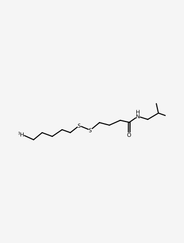 [3H]CCCCCSSCCCC(=O)NCC(C)C